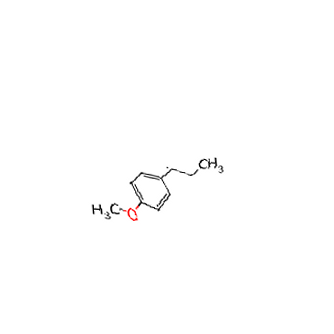 CC[CH]c1ccc(OC)cc1